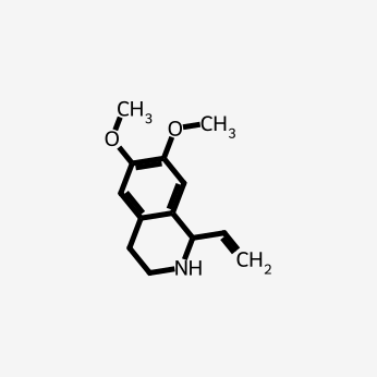 C=CC1NCCc2cc(OC)c(OC)cc21